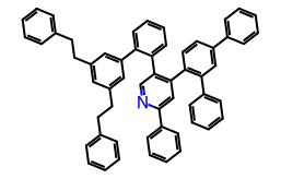 c1ccc(CCc2cc(CCc3ccccc3)cc(-c3ccccc3-c3cnc(-c4ccccc4)cc3-c3ccc(-c4ccccc4)cc3-c3ccccc3)c2)cc1